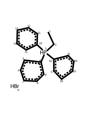 Br.CC[PH](c1ccccc1)(c1ccccc1)c1ccccc1